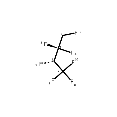 FC[C@](F)(I)[C@@H](F)C(F)(F)F